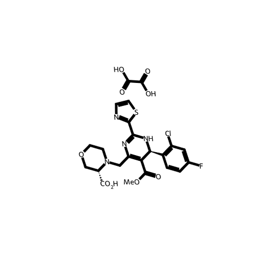 COC(=O)C1=C(CN2CCOC[C@H]2C(=O)O)N=C(c2nccs2)N[C@H]1c1ccc(F)cc1Cl.O=C(O)C(=O)O